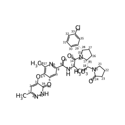 Cc1cc(Oc2ccc(C(=O)NC(C)C(=O)N3[C@@H](C(C)N4CCCC4=O)CC[C@H]3c3cccc(Cl)c3)nc2C)c(=O)[nH]n1